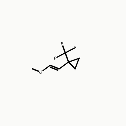 COC=CC1(C(F)(F)F)CC1